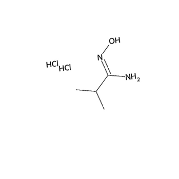 CC(C)C(N)=NO.Cl.Cl